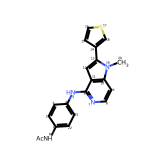 CC(=O)Nc1ccc(Nc2nccc3c2cc(-c2ccsc2)n3C)cc1